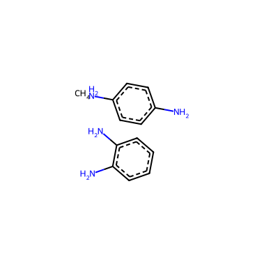 C.Nc1ccc(N)cc1.Nc1ccccc1N